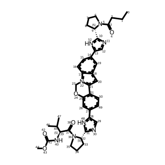 CCCC(=O)N1CCC[C@H]1c1ncc(-c2ccc3c(c2)cc2n3COc3cc(-c4cnc([C@@H]5CCCN5C(=O)[C@@H](NC(=O)OC)C(C)C)[nH]4)ccc3-2)[nH]1